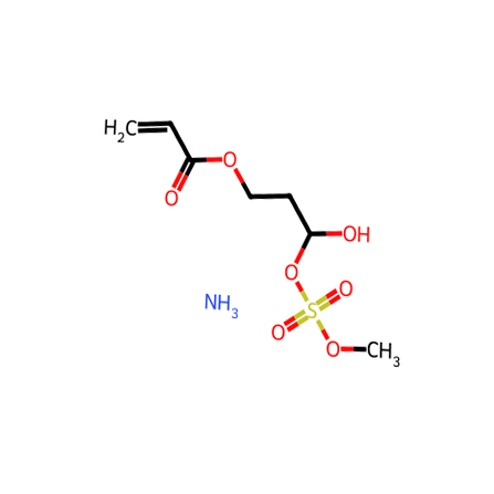 C=CC(=O)OCCC(O)OS(=O)(=O)OC.N